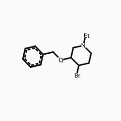 [CH2]CN1CCC(Br)C(OCc2ccccc2)C1